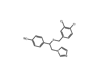 N#Cc1ccc(C(Cn2ccnc2)SCc2ccc(Cl)c(Cl)c2)cc1